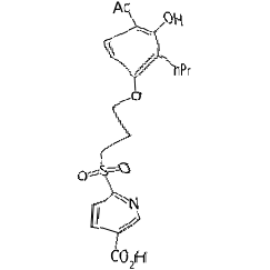 CCCc1c(OCCCS(=O)(=O)c2ccc(C(=O)O)cn2)ccc(C(C)=O)c1O